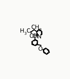 CC(O)C(C)c1cccnc1Oc1cccc(COc2ccccc2)c1